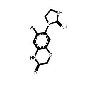 N=C1NCCN1c1cc2c(cc1Br)NC(=O)CO2